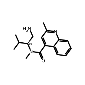 Cc1cc(C(=O)N(C)[C@H](CN)C(C)C)c2ccccc2n1